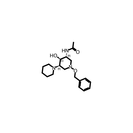 CC(=O)N[C@@H]1CN(OCc2ccccc2)C[C@@H](N2CCCCC2)[C@H]1O